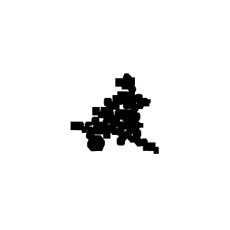 CC(C)C[C@H](NC(=O)[C@H](Cc1c[nH]cn1)NC(=O)CNC(=O)CN)C(=O)N[C@@H](CC(=O)O)C(=O)N[C@@H](C)C(=O)N[C@@H](CCCCN)C(=O)NCC(=O)N[C@@H](CO)C(=O)N[C@@H](Cc1ccccc1)C(=O)O